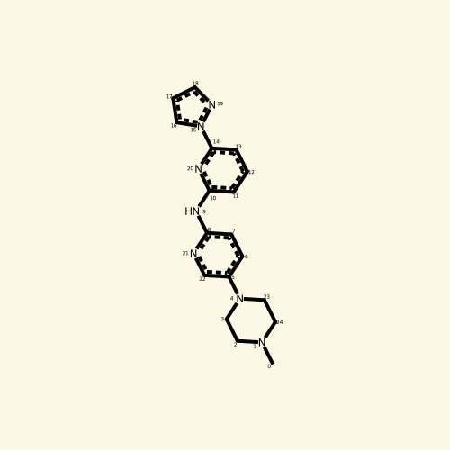 CN1CCN(c2ccc(Nc3cccc(-n4cccn4)n3)nc2)CC1